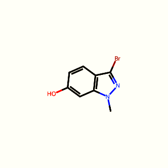 Cn1nc(Br)c2ccc(O)cc21